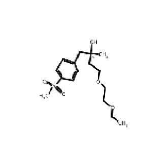 CCOCCOCC[C@@](C)(O)Cc1ccc(S(C)(=O)=O)cc1